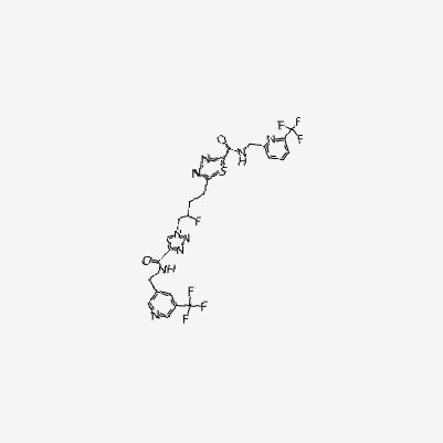 O=C(NCc1cncc(C(F)(F)F)c1)c1cn(CC(F)CCc2nnc(C(=O)NCc3cccc(C(F)(F)F)n3)s2)nn1